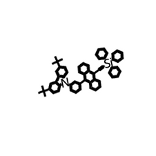 CC(C)(C)c1ccc2c(c1)c1cc(C(C)(C)C)ccc1n2-c1cccc(-c2c3ccccc3c(C#C[Si](c3ccccc3)(c3ccccc3)c3ccccc3)c3ccccc23)c1